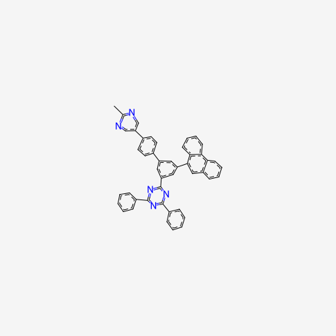 Cc1ncc(-c2ccc(-c3cc(-c4nc(-c5ccccc5)nc(-c5ccccc5)n4)cc(-c4cc5ccccc5c5ccccc45)c3)cc2)cn1